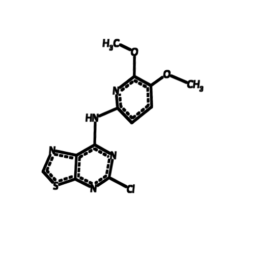 COc1ccc(Nc2nc(Cl)nc3scnc23)nc1OC